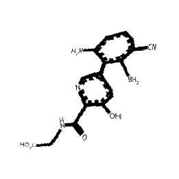 Bc1ccc(C#N)c(B)c1-c1cnc(C(=O)NCC(=O)O)c(O)c1